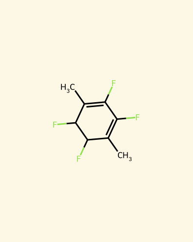 CC1=C(F)C(F)=C(C)C(F)C1F